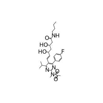 CCCCNC(=O)C[C@H](O)C[C@H](O)C=Cc1c(-c2ccc(F)cc2)nc(N(C)S(C)(=O)=O)nc1C(C)C